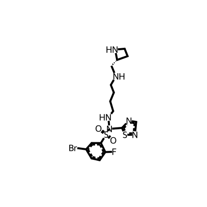 O=S(=O)(c1cc(Br)ccc1F)N(NCCCCNC[C@H]1CCN1)c1ncns1